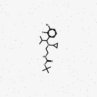 CC(C)C(c1cccc(Br)c1F)N(CCNC(=O)OC(C)(C)C)C1CC1